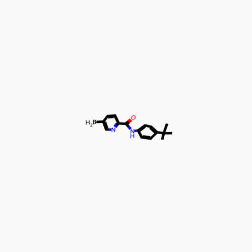 Bc1ccc(C(=O)Nc2ccc(C(C)(C)C)cc2)nc1